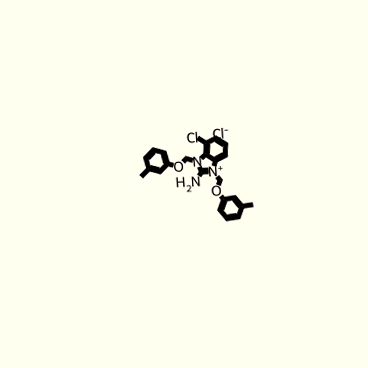 Cc1cccc(OCn2c(N)[n+](COc3cccc(C)c3)c3cccc(Cl)c32)c1.[Cl-]